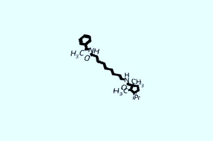 CC(NC(=O)CCCCCCCCNC(=O)[C@]1(C)CC[C@@H](C(C)C)C1C)c1ccccc1